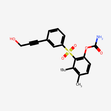 Cc1ccc(OC(N)=O)c(S(=O)(=O)c2cccc(C#CCO)c2)c1C(C)(C)C